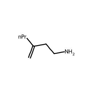 C=C(CCC)CCN